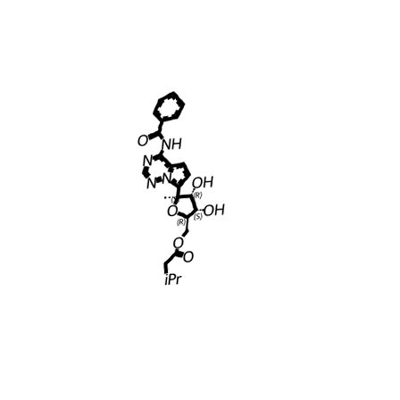 CC(C)CC(=O)OC[C@H]1O[C@@](C)(c2ccc3c(NC(=O)c4ccccc4)ncnn23)[C@H](O)[C@@H]1O